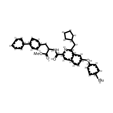 COC(=O)C(Cc1ccc(-c2ccccc2)cc1)NC(=O)c1cc2ccc(Oc3ccc(C(C)(C)C)cc3)cc2c(CC2CCCC2)n1